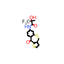 CC(O)(C(=O)Nc1ccc2c(c1)SCc1ccsc1C2=O)C(F)(F)F